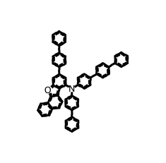 c1ccc(-c2ccc(-c3ccc(N(c4ccc(-c5ccccc5)cc4)c4cc(-c5ccc(-c6ccccc6)cc5)cc5oc6c7ccccc7ccc6c45)cc3)cc2)cc1